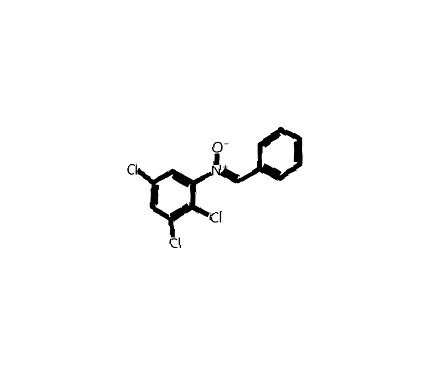 [O-][N+](=Cc1ccccc1)c1cc(Cl)cc(Cl)c1Cl